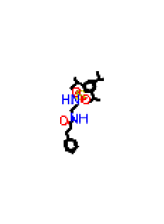 CC(C)c1cc(C(C)C)c(S(=O)(=O)NCCNC(=O)CCc2ccccc2)c(C(C)C)c1